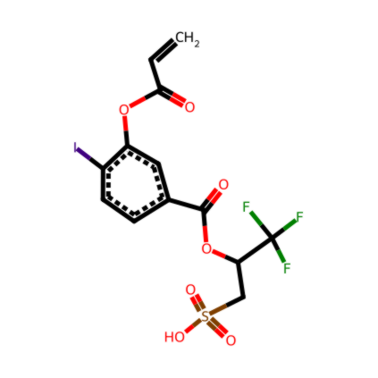 C=CC(=O)Oc1cc(C(=O)OC(CS(=O)(=O)O)C(F)(F)F)ccc1I